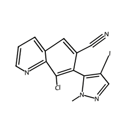 Cn1ncc(I)c1-c1c(C#N)cc2cccnc2c1Cl